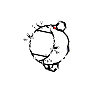 O=[P@]1(S)OCC2OC3[C@H](F)[C@@H]2O[P@](=O)(S)OCC2OC([C@H](F)[C@@H]2O1)n1cnc2c(ncnc21)CC/C=C/CCc1ncnc2c1ncn23